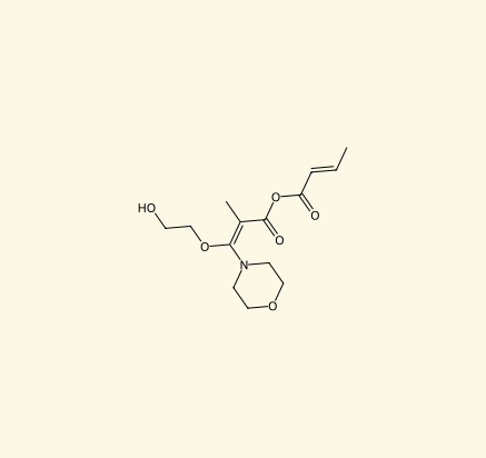 CC=CC(=O)OC(=O)C(C)=C(OCCO)N1CCOCC1